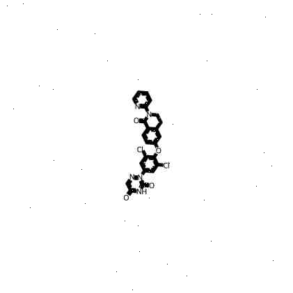 O=C1c2ccc(Oc3c(Cl)cc(-n4ncc(=O)[nH]c4=O)cc3Cl)cc2CCN1c1ccccn1